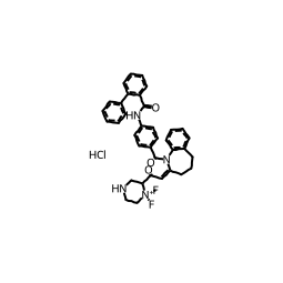 Cl.O=C(Nc1ccc(C(=O)N2/C(=C\C(=O)C3CNCC[N+]3(F)F)CCCc3ccccc32)cc1)c1ccccc1-c1ccccc1